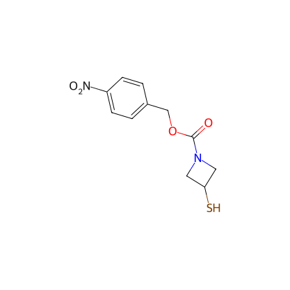 O=C(OCc1ccc([N+](=O)[O-])cc1)N1CC(S)C1